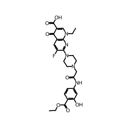 CCOC(=O)c1ccc(NC(=O)CN2CCN(c3nc4c(cc3F)c(=O)c(C(=O)O)cn4CC)CC2)cc1O